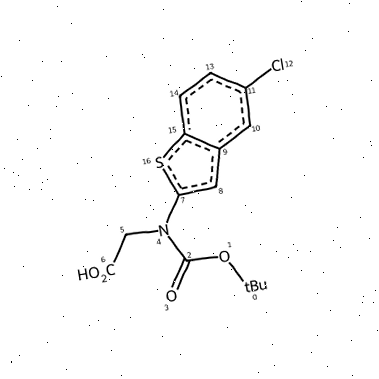 CC(C)(C)OC(=O)N(CC(=O)O)c1cc2cc(Cl)ccc2s1